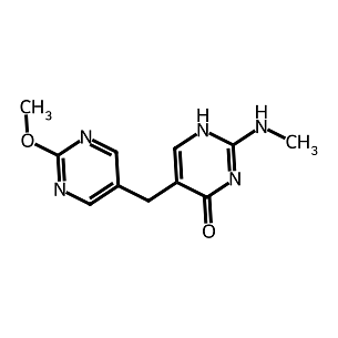 CNc1nc(=O)c(Cc2cnc(OC)nc2)c[nH]1